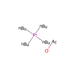 CC(=O)[O-].CCCC[P+](CCCC)(CCCC)CCCC